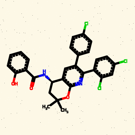 CC1(C)C[C@@H](NC(=O)c2ccccc2O)c2cc(-c3ccc(Cl)cc3)c(-c3ccc(Cl)cc3Cl)nc2O1